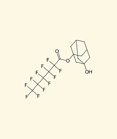 O=C(OC12CC3CC(CC(O)(C3)C1)C2)C(F)(F)C(F)(F)C(F)(F)C(F)(F)C(F)(F)F